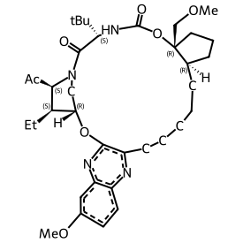 CC[C@@H]1[C@@H]2CN(C(=O)[C@H](C(C)(C)C)NC(=O)O[C@]3(COC)CCC[C@H]3CCCCCc3nc4ccc(OC)cc4nc3O2)[C@@H]1C(C)=O